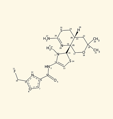 CN1C(NC(=O)c2coc(CF)n2)=CSC1[C@]12COC(C)(C)C[C@H]1CSC(N)=N2